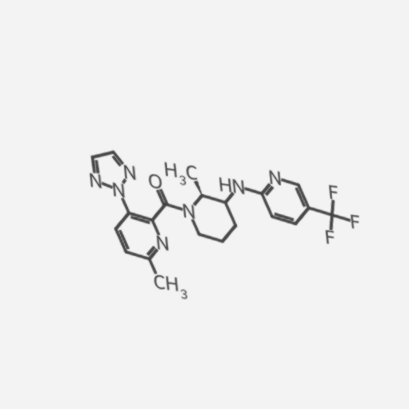 Cc1ccc(-n2nccn2)c(C(=O)N2CCCC(Nc3ccc(C(F)(F)F)cn3)[C@@H]2C)n1